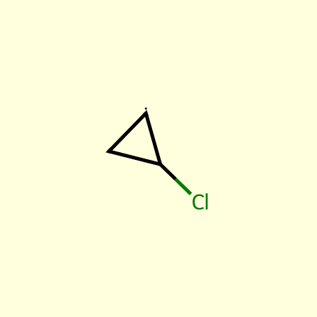 ClC1[CH]C1